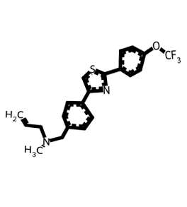 C=CCN(C)Cc1ccc(-c2csc(-c3ccc(OC(F)(F)F)cc3)n2)cc1